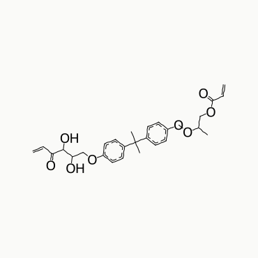 C=CC(=O)OCC(C)OOc1ccc(C(C)(C)c2ccc(OCC(O)C(O)C(=O)C=C)cc2)cc1